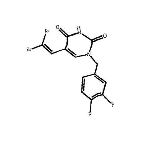 O=c1[nH]c(=O)n(Cc2ccc(F)c(F)c2)cc1C=C(Br)Br